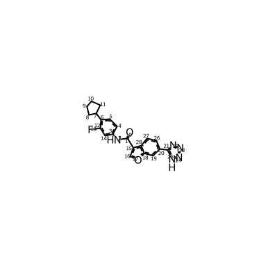 O=C(Nc1ccc(C2CCCC2)c(F)c1)c1coc2cc(-c3nnn[nH]3)ccc12